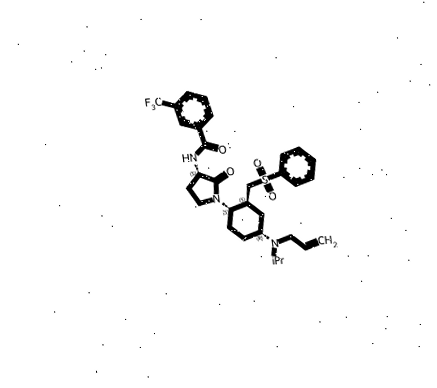 C=CCN(C(C)C)[C@@H]1CC[C@H](N2CC[C@H](NC(=O)c3cccc(C(F)(F)F)c3)C2=O)[C@@H](CS(=O)(=O)c2ccccc2)C1